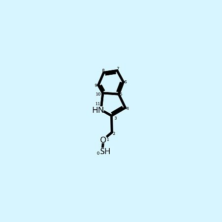 SOCc1cc2ccccc2[nH]1